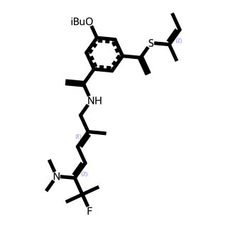 C=C(NC/C(C)=C/C=C(\N(C)C)C(C)(C)F)c1cc(OCC(C)C)cc(C(=C)S/C(C)=C\C)c1